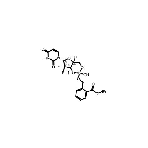 CC(C)OC(=O)c1ccccc1CO[PH]1(O)OC[C@H]2O[C@@H](n3ccc(=O)[nH]c3=O)[C@](C)(F)[C@@H]2O1